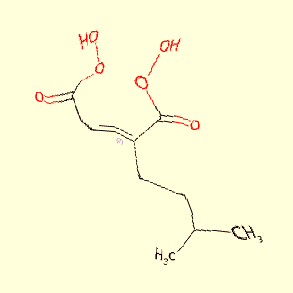 CC(C)CC/C(=C/C(=O)OO)C(=O)OO